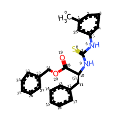 Cc1cccc(NC(=S)N[C@@H](Cc2ccccc2)C(=O)OCc2ccccc2)c1